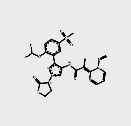 C=NN1C=CC=N/C1=C(/C)C(=O)Nc1cn([C@H]2CCOC2=O)nc1-c1cc(S(C)(=O)=O)ccc1OC(F)F